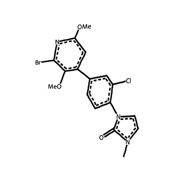 COc1cc(-c2ccc(-n3ccn(C)c3=O)c(Cl)c2)c(OC)c(Br)n1